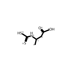 CC(CC(=O)O)NC(=S)S